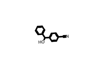 N#Cc1ccc(C(O)c2ccccc2)cc1